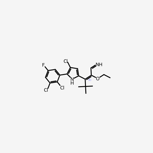 CCO/C(C=N)=C(/c1cc(Cl)c(-c2cc(F)cc(Cl)c2Cl)[nH]1)C(C)(C)C